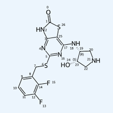 O=c1[nH]c2nc(SCc3cccc(F)c3F)nc(N[C@@H]3CNC[C@@H]3O)c2s1